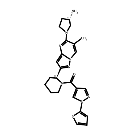 Cc1cn2nc([C@@H]3CCCCN3C(=O)c3cnn(-c4cccs4)c3)cc2nc1N1CC[C@H](N)C1